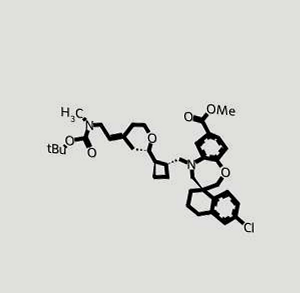 COC(=O)c1ccc2c(c1)N(C[C@@H]1CC[C@H]1[C@@H]1C/C(=C/CN(C)C(=O)OC(C)(C)C)CCO1)C[C@@]1(CCCc3cc(Cl)ccc31)CO2